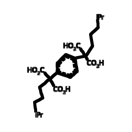 CC(C)CCCC(C(=O)O)(C(=O)O)c1ccc(C(CCCC(C)C)(C(=O)O)C(=O)O)cc1